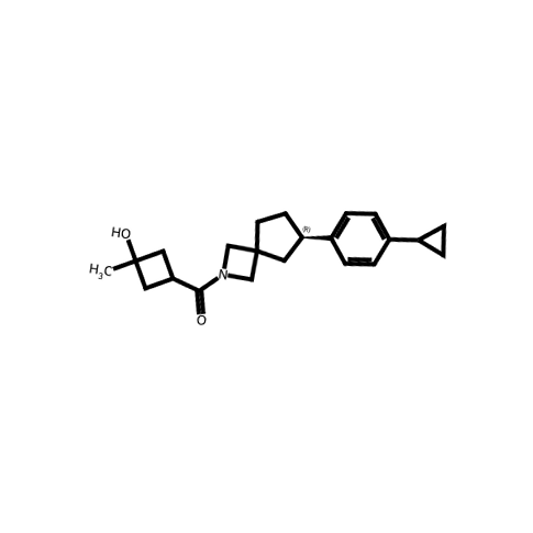 CC1(O)CC(C(=O)N2CC3(CC[C@@H](c4ccc(C5CC5)cc4)C3)C2)C1